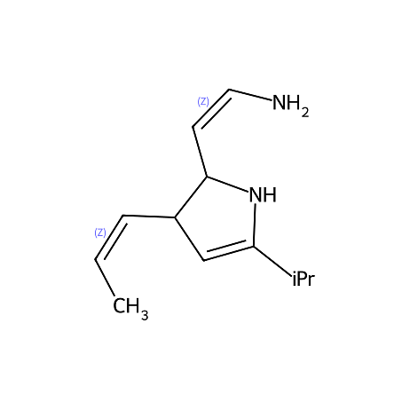 C/C=C\C1C=C(C(C)C)NC1/C=C\N